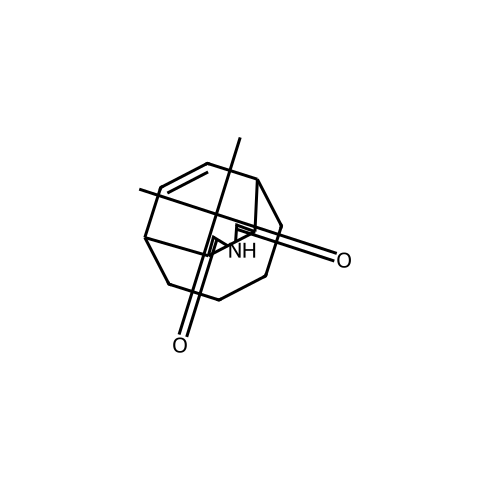 O=C1NC(=O)C2C3C=CC(CCCC3)C12